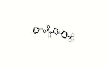 O=C(NC1CCN(c2ccc(C(=O)O)cc2)C1)OCc1ccccc1